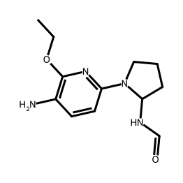 CCOc1nc(N2CCCC2NC=O)ccc1N